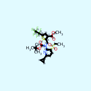 CCS(=O)(=O)c1ccc(C2CC2)nc1N(Cc1sc(C(F)(F)C(F)(F)F)cc1C(=O)OC)C(=O)OC(C)(C)C